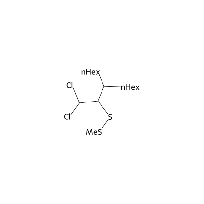 CCCCCCC(CCCCCC)C(SSC)C(Cl)Cl